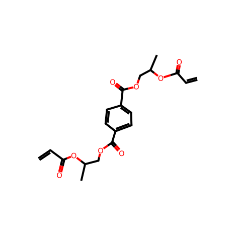 C=CC(=O)OC(C)COC(=O)c1ccc(C(=O)OCC(C)OC(=O)C=C)cc1